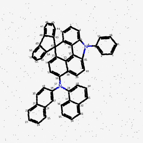 c1ccc(-n2c3cccc4c3c3c5c(ccc(N(c6ccc7ccccc7c6)c6cccc7ccccc67)c5ccc32)C42c3ccccc3-c3ccccc32)cc1